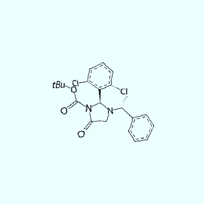 C[C@H](c1ccccc1)N1CC(=O)N(C(=O)OC(C)(C)C)[C@H]1c1c(Cl)cccc1Cl